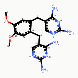 COc1cc(Cc2cnc(N)nc2N)c(Cc2cnc(N)nc2N)cc1OC